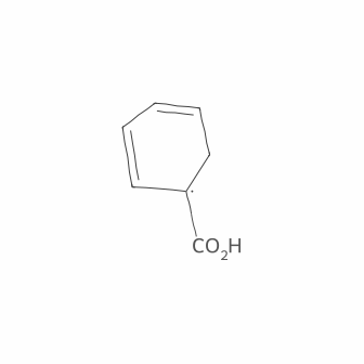 O=C(O)[C]1C=CC=CC1